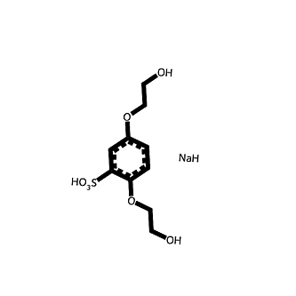 O=S(=O)(O)c1cc(OCCO)ccc1OCCO.[NaH]